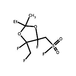 CCC1(C)OC(F)(CF)C(F)(CS(=O)(=O)F)O1